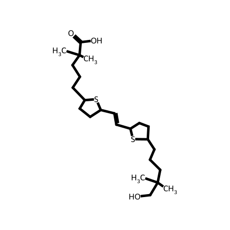 CC(C)(CO)CCCC1CCC(/C=C/C2CCC(CCCC(C)(C)C(=O)O)S2)S1